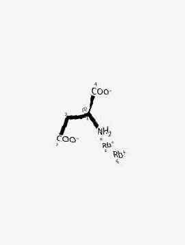 N[C@@H](CC(=O)[O-])C(=O)[O-].[Rb+].[Rb+]